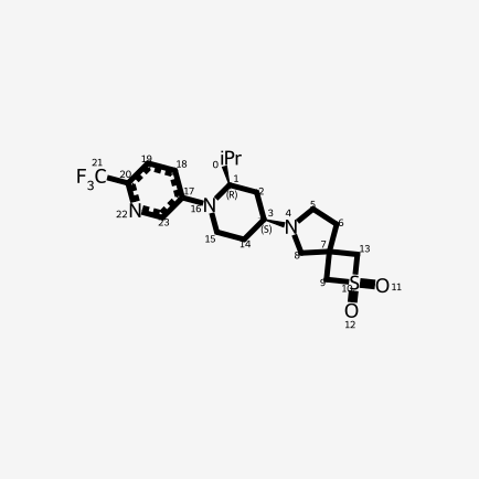 CC(C)[C@H]1C[C@@H](N2CCC3(C2)CS(=O)(=O)C3)CCN1c1ccc(C(F)(F)F)nc1